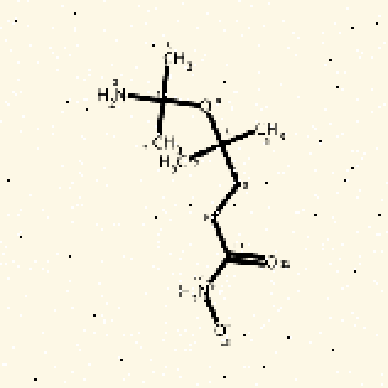 CC(C)(N)OC(C)(C)CCC(=O)[NH2+][O-]